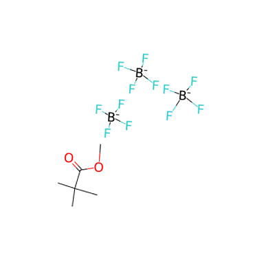 COC(=O)C(C)(C)C.F[B-](F)(F)F.F[B-](F)(F)F.F[B-](F)(F)F